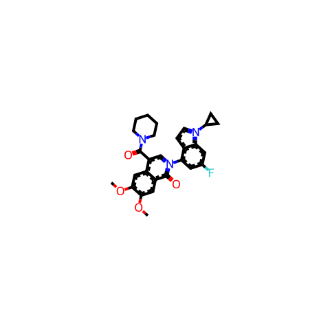 COc1cc2c(C(=O)N3CCCCC3)cn(-c3cc(F)cc4c3ccn4C3CC3)c(=O)c2cc1OC